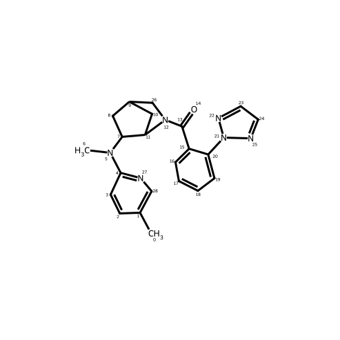 Cc1ccc(N(C)C2CC3CC2N(C(=O)c2ccccc2-n2nccn2)C3)nc1